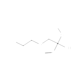 COC(O)(COCCO)OC